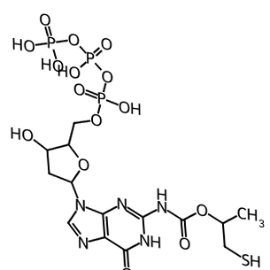 CC(CS)OC(=O)Nc1nc2c(ncn2C2CC(O)C(COP(=O)(O)OP(=O)(O)OP(=O)(O)O)O2)c(=O)[nH]1